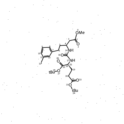 COC(=O)CC(CCc1cccc(I)c1)NC(=O)N[C@@H](CCC(=O)OC(C)(C)C)C(=O)OC(C)(C)C